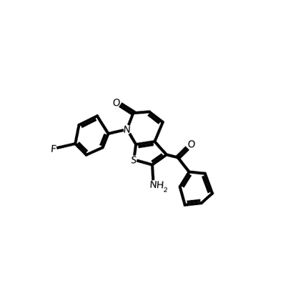 Nc1sc2c(ccc(=O)n2-c2ccc(F)cc2)c1C(=O)c1ccccc1